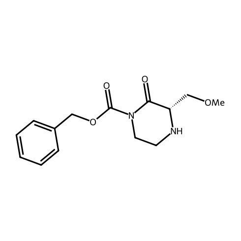 COC[C@@H]1NCCN(C(=O)OCc2ccccc2)C1=O